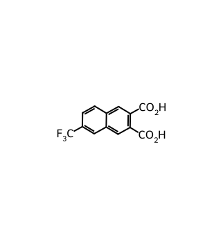 O=C(O)c1cc2ccc(C(F)(F)F)cc2cc1C(=O)O